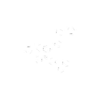 c1cc(-c2cccc(N(c3ccc(-c4cccc5ccccc45)cc3)c3ccccc3-c3cccc4oc5ccccc5c34)c2)cc(-c2cccc3c2sc2ccccc23)c1